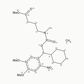 C.COc1cc(C(OC(=O)N(C)CCCS(=O)OC)C2CCCCC2)c([N+](=O)[O-])cc1OC